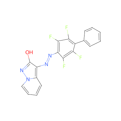 Oc1nn2ccccc2c1/N=N/c1c(F)c(F)c(-c2ccccc2)c(F)c1F